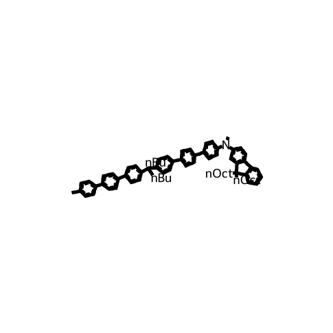 CCCCCCCCC1(CCCCCCCC)c2ccccc2-c2ccc(N(C)c3ccc(-c4ccc(-c5ccc(C(CCCC)(CCCC)c6ccc(-c7ccc(-c8ccc(C)cc8)cc7)cc6)cc5)cc4)cc3)cc21